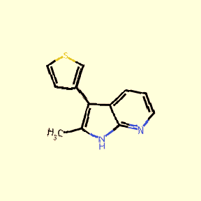 Cc1[nH]c2ncccc2c1-c1ccsc1